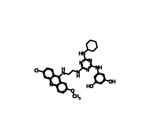 COc1ccc2nc3cc(Cl)ccc3c(NCCNc3nc(Nc4cc(O)cc(O)c4)nc(NC4CCCCC4)n3)c2c1